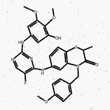 COc1ccc(CN2C(=O)C(C)Sc3ccc(Nc4nc(Nc5cc(O)c(OC)c(OC)c5)ncc4F)cc32)cc1